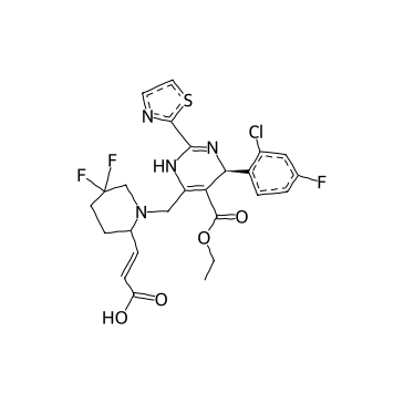 CCOC(=O)C1=C(CN2CC(F)(F)CCC2/C=C/C(=O)O)NC(c2nccs2)=N[C@H]1c1ccc(F)cc1Cl